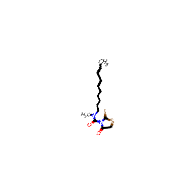 CCCCCCCCCCN(C)C(=O)N1C(=O)CSC1=S